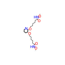 CONC(=O)CCCCCOc1cccnc1OCCCCCC(=O)NOC